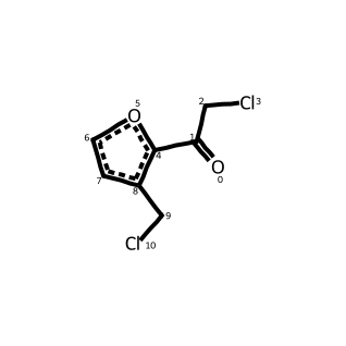 O=C(CCl)c1occc1CCl